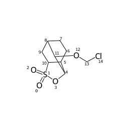 O=S1(=O)OC2C3CCC(CC31)C2OCCl